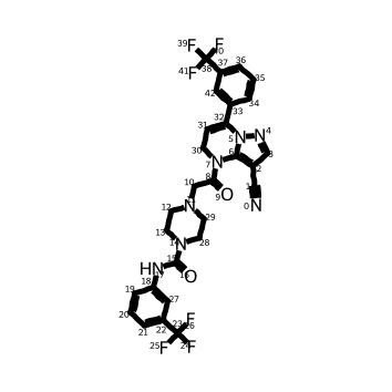 N#Cc1cnn2c1N(C(=O)CN1CCN(C(=O)Nc3cccc(C(F)(F)F)c3)CC1)CC=C2c1cccc(C(F)(F)F)c1